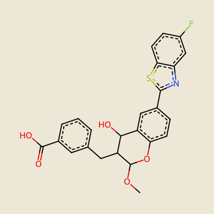 COC1Oc2ccc(-c3nc4cc(F)ccc4s3)cc2C(O)C1Cc1cccc(C(=O)O)c1